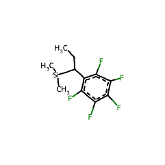 CCC(c1c(F)c(F)c(F)c(F)c1F)[Si](C)C